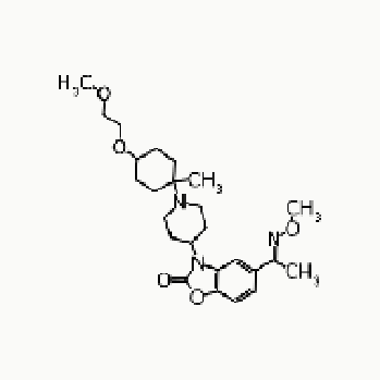 COCCOC1CCC(C)(N2CCC(n3c(=O)oc4ccc(C(C)=NOC)cc43)CC2)CC1